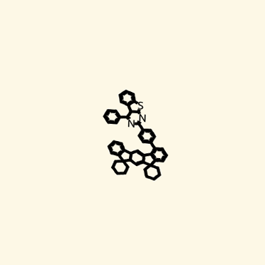 C1=C2C(=CC3C1c1ccccc1C31CCCCC1)C1(CCCCC1)c1cccc(-c3ccc(C4=NC5Sc6ccccc6C5C(c5ccccc5)=N4)cc3)c12